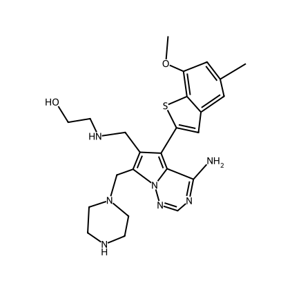 COc1cc(C)cc2cc(-c3c(CNCCO)c(CN4CCNCC4)n4ncnc(N)c34)sc12